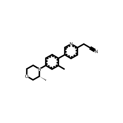 Cc1cc(N2CCOC[C@H]2C)ccc1-c1ccc(CC#N)nc1